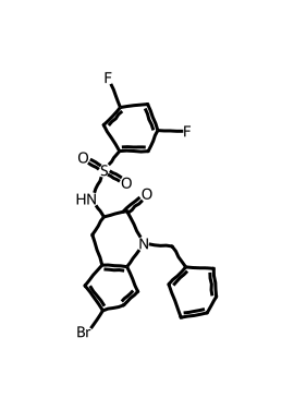 O=C1C(NS(=O)(=O)c2cc(F)cc(F)c2)Cc2cc(Br)ccc2N1Cc1ccccc1